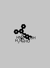 N=C(N)Nc1nc(-c2cc(-c3ccccc3)cc(-c3ccccc3)c2)cc2cc(CO)c(CO)cc12